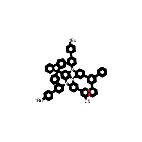 CC(C)(C)c1ccc(-c2ccc(N3c4ccc(-c5cccc(C#N)c5)cc4B4c5cc(-c6cc(-c7ccccc7)cc(-c7ccccc7)c6)ccc5N(c5ccc(-c6ccc(C(C)(C)C)cc6)cc5)c5cc(C6(c7ccccc7)c7ccccc7-c7ccccc76)cc3c54)cc2)cc1